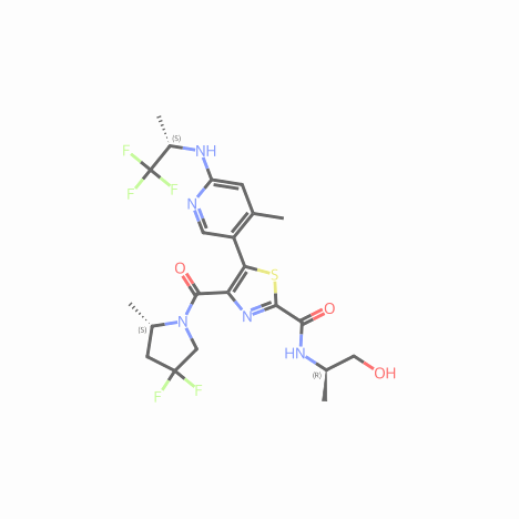 Cc1cc(N[C@@H](C)C(F)(F)F)ncc1-c1sc(C(=O)N[C@H](C)CO)nc1C(=O)N1CC(F)(F)C[C@@H]1C